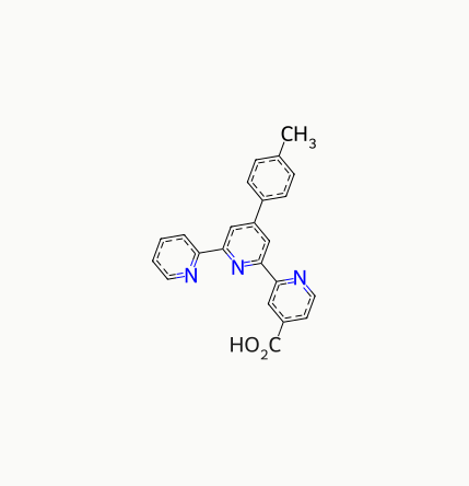 Cc1ccc(-c2cc(-c3ccccn3)nc(-c3cc(C(=O)O)ccn3)c2)cc1